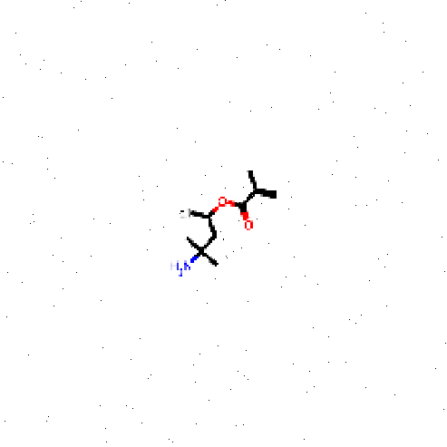 C=C(C)C(=O)OC(CC)CC(C)(C)N